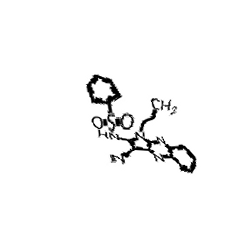 C=CCn1c(NS(=O)(=O)c2ccccc2)c(C#N)c2nc3ccccc3nc21